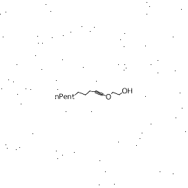 CCCCCCCCC#COCCO